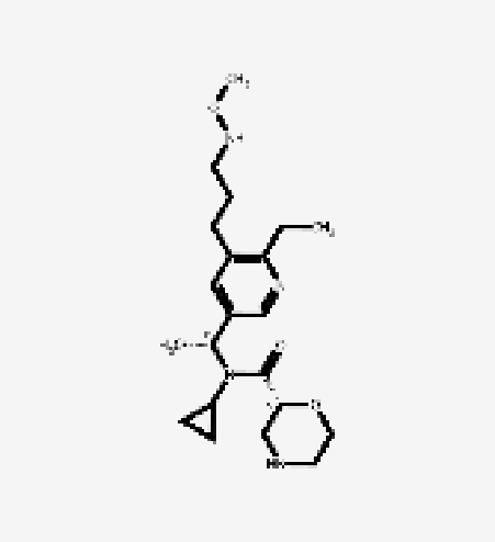 CCc1ncc([C@@H](C)N(C(=O)[C@H]2CNCCO2)C2CC2)cc1CCCNOC